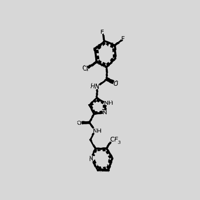 O=C(NCc1ncccc1C(F)(F)F)c1cc(NC(=O)c2cc(F)c(F)cc2Cl)[nH]n1